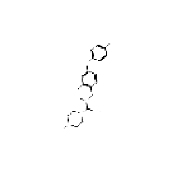 CC(=O)N1CCN(C(C=O)[S+]([O-])Cc2ccc(Oc3ccc(Cl)cc3)cc2Cl)CC1